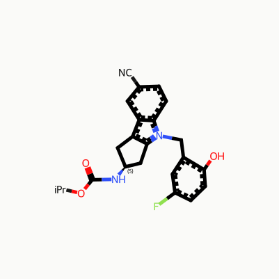 CC(C)OC(=O)N[C@H]1Cc2c(n(Cc3cc(F)ccc3O)c3ccc(C#N)cc23)C1